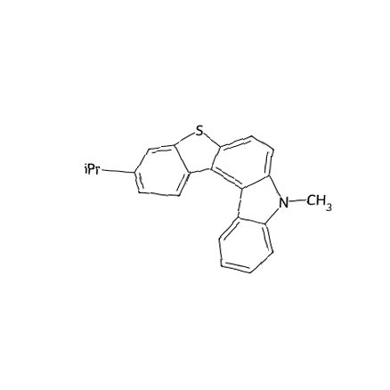 CC(C)c1ccc2c(c1)sc1ccc3c(c4ccccc4n3C)c12